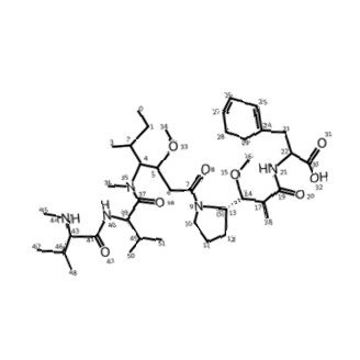 CCC(C)C(C(CC(=O)N1CCC[C@H]1C(OC)C(C)C(=O)NC(CC1=CC=CCC1)C(=O)O)OC)N(C)C(=O)C(NC(=O)C(NC)C(C)C)C(C)C